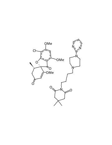 CC1(C)CC(=O)N(CCCCN2CCN(c3ncccn3)CC2)C(=O)C1.COC1=CC(=O)C[C@@H](C)[C@]12Oc1c(Cl)c(OC)cc(OC)c1C2=O